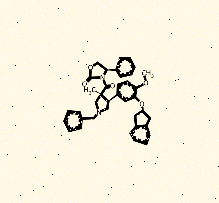 COc1ccc([C@H]2CN(Cc3ccccc3)C[C@@]2(C)C(=O)N2C(=O)OC[C@H]2c2ccccc2)cc1OC1Cc2ccccc2C1